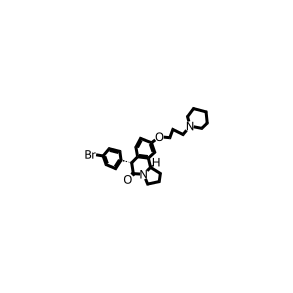 O=C1[C@H](c2ccc(Br)cc2)c2ccc(OCCCN3CCCCC3)cc2[C@H]2CCCN12